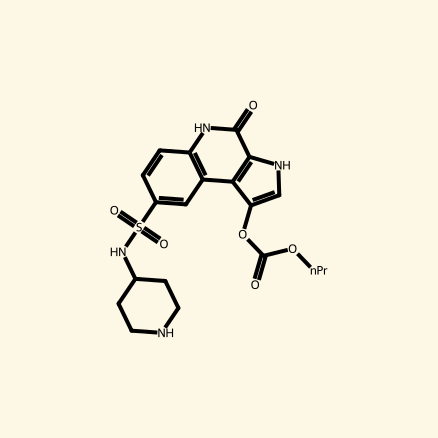 CCCOC(=O)Oc1c[nH]c2c(=O)[nH]c3ccc(S(=O)(=O)NC4CCNCC4)cc3c12